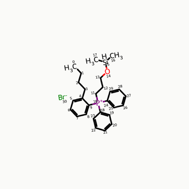 CCCCc1ccccc1[P+](CCCO[SiH](C)C)(c1ccccc1)c1ccccc1.[Br-]